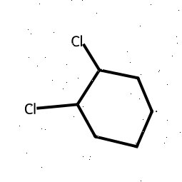 ClC1C[CH]CCC1Cl